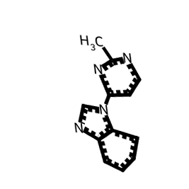 Cc1nccc(-n2cnc3ccccc32)n1